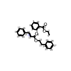 CCOC(=O)c1ccccc1.O=C(/C=C/c1ccccc1)OCCc1ccccc1